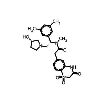 Cc1cc(C)cc([C@@H](CN2CC[C@@H](O)C2)N(C)C(=O)Cc2ccc3c(c2)NC(=O)CS3(=O)=O)c1